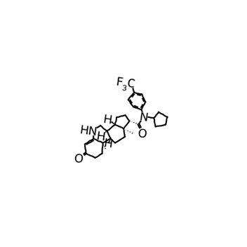 C[C@]12CC[C@H]3[C@@H](CNC4=CC(=O)CC[C@@]43C)[C@@H]1CC[C@@H]2C(=O)N(c1ccc(C(F)(F)F)cc1)C1CCCC1